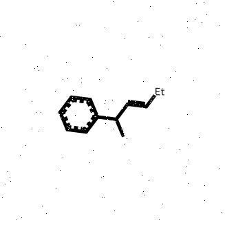 [CH2]CC=CC(C)c1ccccc1